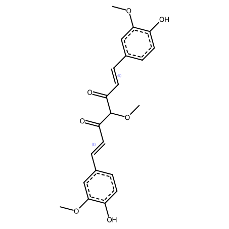 COc1cc(/C=C/C(=O)C(OC)C(=O)/C=C/c2ccc(O)c(OC)c2)ccc1O